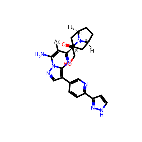 CC(=O)c1c([C@H]2C[C@H]3CC[C@@H](C2)N3C(=O)CO)nc2c(-c3ccc(-c4cc[nH]n4)nc3)cnn2c1N